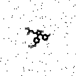 COc1ccc(-c2c(CCC(=O)O)n[nH]c2-c2cccc(F)c2)cc1